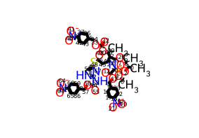 CCOP(OCC)(OCC)=C(C(=O)OCc1ccc([N+](=O)[O-])cc1)N1C(=O)C(C(C)OC(=O)OCc2ccc([N+](=O)[O-])cc2)C1CC(=O)Sc1c[nH]c(NC(=O)OCc2ccc([N+](=O)[O-])cc2)n1